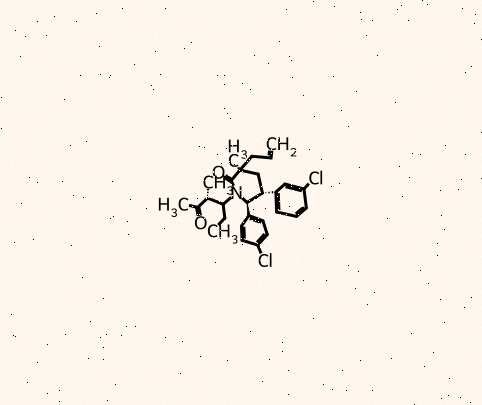 C=CC[C@@]1(C)C[C@H](c2cccc(Cl)c2)[C@@H](c2ccc(Cl)cc2)N(C(CC)[C@@H](C)C(C)=O)C1=O